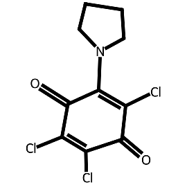 O=C1C(Cl)=C(Cl)C(=O)C(N2CCCC2)=C1Cl